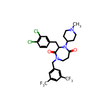 CN1CCC(N2C(=O)CCN(Cc3cc(C(F)(F)F)cc(C(F)(F)F)c3)C(=O)C2Cc2ccc(Cl)c(Cl)c2)CC1